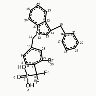 O=P(O)(O)C(F)(F)c1ccc(Cn2cc(Cc3ccccc3)c3ccccc32)cc1Br